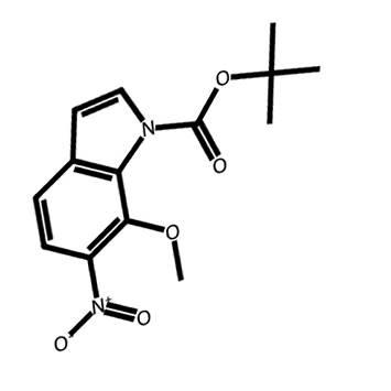 COc1c([N+](=O)[O-])ccc2ccn(C(=O)OC(C)(C)C)c12